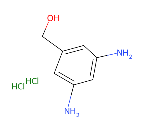 Cl.Cl.Nc1cc(N)cc(CO)c1